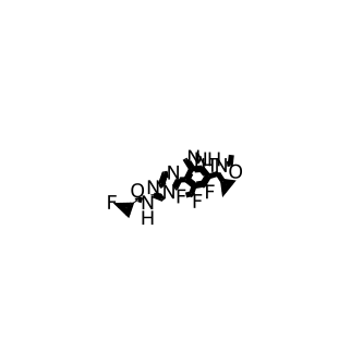 CC(=O)NC(c1c(F)c(C(F)F)c(-c2cn3cc(NC(=O)[C@@H]4C[C@@H]4F)nc3cn2)c2cn[nH]c12)C1CC1